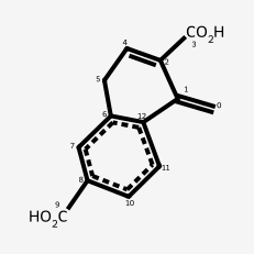 C=C1C(C(=O)O)=CCc2cc(C(=O)O)ccc21